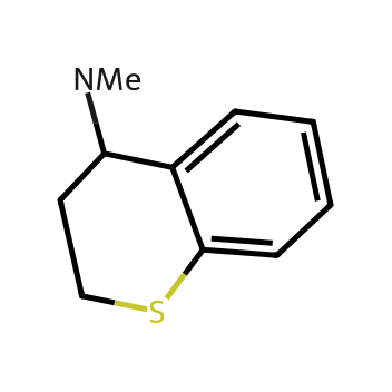 CNC1CCSc2ccccc21